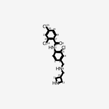 O=C(Nc1ccc(CNCC2CNC2)cc1Cl)c1ccc(Cl)cc1Cl